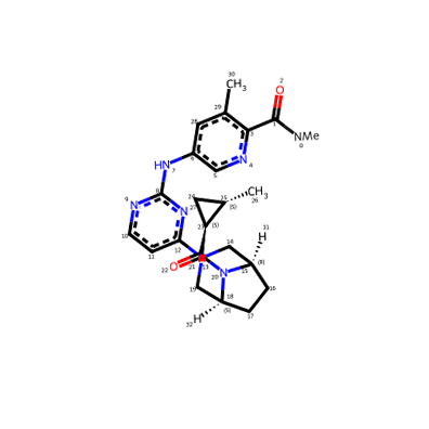 CNC(=O)c1ncc(Nc2nccc(N3C[C@H]4CC[C@@H](C3)N4C(=O)[C@H]3C[C@@H]3C)n2)cc1C